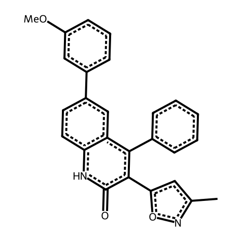 COc1cccc(-c2ccc3[nH]c(=O)c(-c4cc(C)no4)c(-c4ccccc4)c3c2)c1